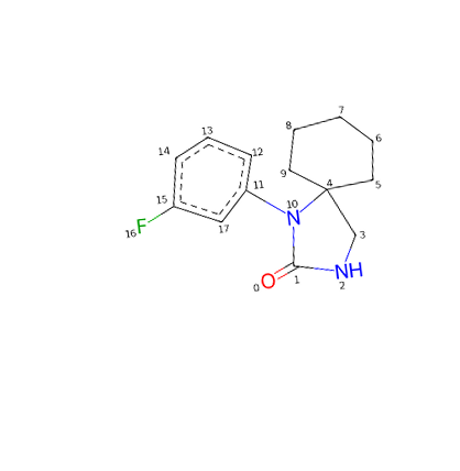 O=C1NCC2(CCCCC2)N1c1cccc(F)c1